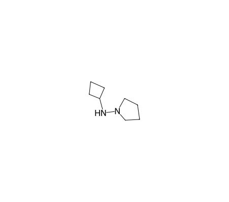 C1CC(NN2CCCC2)C1